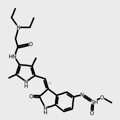 CCN(CC)CC(=O)Nc1c(C)[nH]c(/C=C2\C(=O)Nc3ccc(N=[SH](=O)OC)cc32)c1C